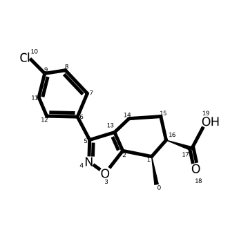 C[C@H]1c2onc(-c3ccc(Cl)cc3)c2CC[C@H]1C(=O)O